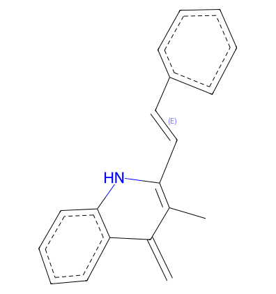 C=C1C(C)=C(/C=C/c2ccccc2)Nc2ccccc21